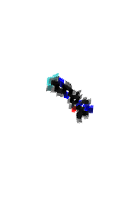 Cc1cc(N2CCn3ncc(C)c3C2=O)c(C)cc1-c1ccc2nc(C(F)(F)F)ccc2n1